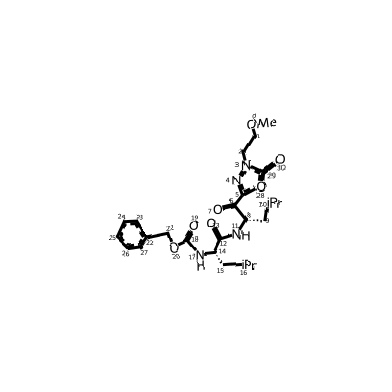 COCCn1nc(C(=O)[C@H](CC(C)C)NC(=O)[C@H](CC(C)C)NC(=O)OCc2ccccc2)oc1=O